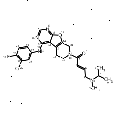 CC(C)N(C)C/C=C/C(=O)N1CCc2c(oc3ncnc(Nc4ccc(F)c(Cl)c4)c23)C1